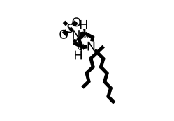 CCCCCCCC(C)(CCCCC)N1C[C@@H]2C[C@H]1CN2S(C)(=O)=O